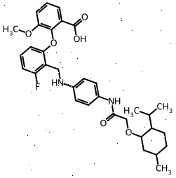 COc1cccc(C(=O)O)c1Oc1cccc(F)c1CNc1ccc(NC(=O)COC2CC(C)CCC2C(C)C)cc1